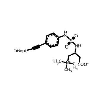 CCCCCCCC#Cc1ccc(NS(=O)(=O)NC(CC(=O)[O-])C[N+](C)(C)C)cc1